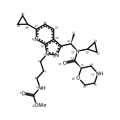 COC(=O)NCCCn1nc([C@@H](C)N(C(=O)[C@H]2CNCCO2)C2CC2)c2ccc(C3CC3)nc21